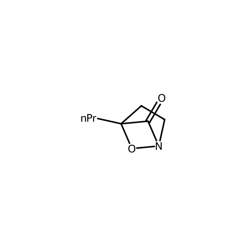 CCCC12CCN(O1)C2=O